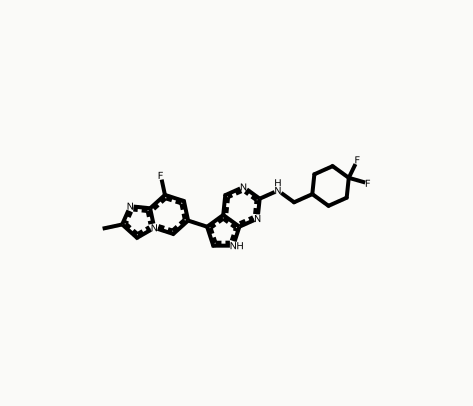 Cc1cn2cc(-c3c[nH]c4nc(NCC5CCC(F)(F)CC5)ncc34)cc(F)c2n1